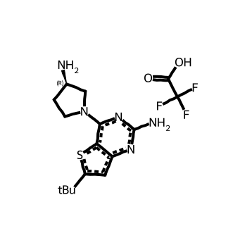 CC(C)(C)c1cc2nc(N)nc(N3CC[C@@H](N)C3)c2s1.O=C(O)C(F)(F)F